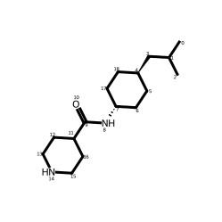 CC(C)C[C@H]1CC[C@H](NC(=O)C2CCNCC2)CC1